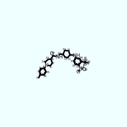 Cc1ccc(N2CCC(C(=O)NCC3CCC(Nc4ccc([N+](=O)[O-])c(C(F)(F)F)c4)CC3)CC2)cc1